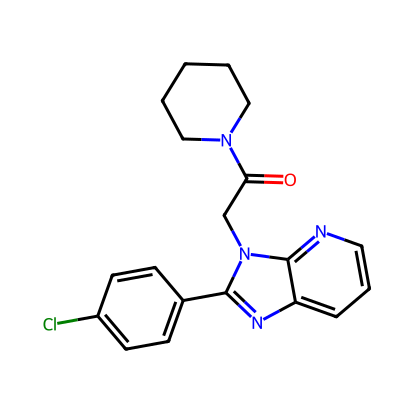 O=C(Cn1c(-c2ccc(Cl)cc2)nc2cccnc21)N1CCCCC1